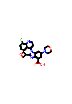 O=C(O)c1cc(N2CCOCC2)cc2c1nc(C1COC1)n2-c1ccnc2c(Cl)cccc12